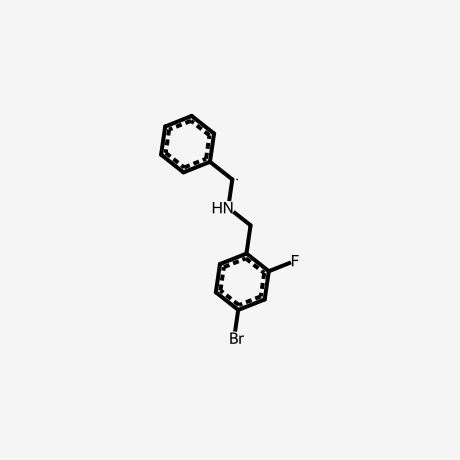 Fc1cc(Br)ccc1CN[CH]c1ccccc1